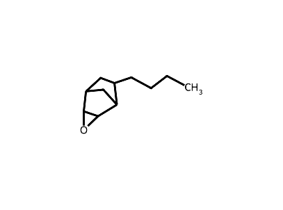 CCCCC1CC2CC1C1OC21